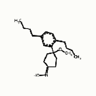 CCCCc1ccc(CCCC)c(C2(OC)CCC(=NO)CC2)c1